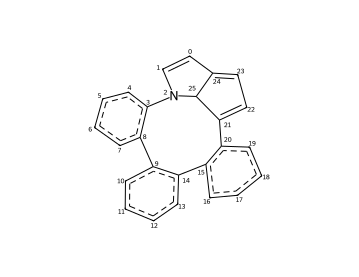 C1=CN2c3ccccc3-c3ccccc3-c3ccccc3C3=CC=C1C32